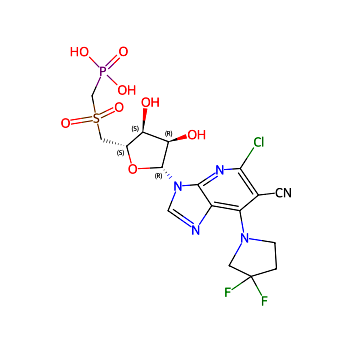 N#Cc1c(Cl)nc2c(ncn2[C@@H]2O[C@H](CS(=O)(=O)CP(=O)(O)O)[C@@H](O)[C@H]2O)c1N1CCC(F)(F)C1